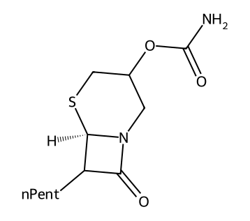 CCCCCC1C(=O)N2CC(OC(N)=O)CS[C@H]12